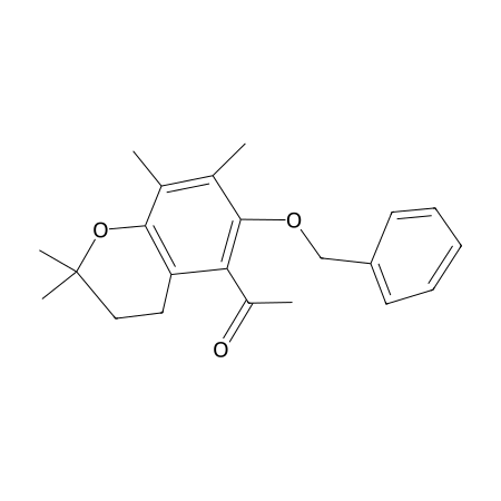 CC(=O)c1c2c(c(C)c(C)c1OCc1ccccc1)OC(C)(C)CC2